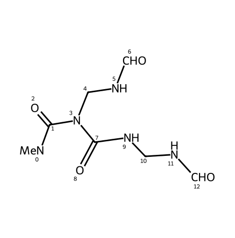 CNC(=O)N(CNC=O)C(=O)NCNC=O